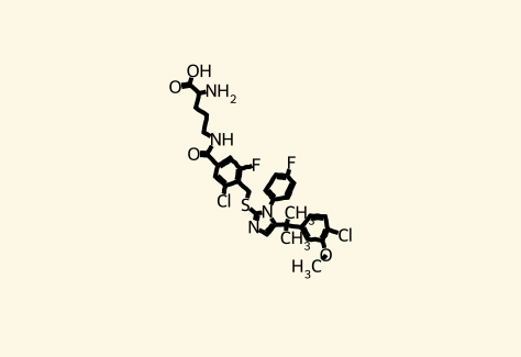 COc1cc(C(C)(C)c2cnc(SCc3c(F)cc(C(=O)NCCCC(N)C(=O)O)cc3Cl)n2-c2ccc(F)cc2)ccc1Cl